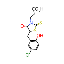 O=C(O)CCN1C(=O)C(Cc2cc(Cl)ccc2O)SC1=S